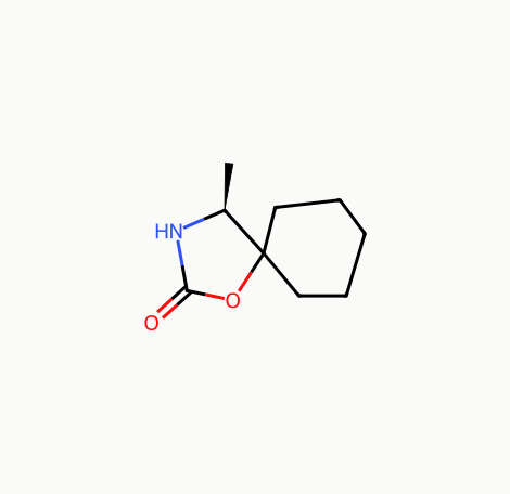 C[C@@H]1NC(=O)OC12CCCCC2